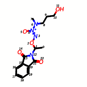 CC(ON=[N+]([O-])N(C)CCCO)N1C(=O)c2ccccc2C1=O